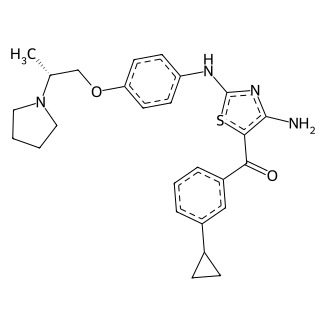 C[C@H](COc1ccc(Nc2nc(N)c(C(=O)c3cccc(C4CC4)c3)s2)cc1)N1CCCC1